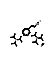 CC(C)P(C(C)C)C(C)C.CC(C)P(C(C)C)C(C)C.[C]=O.[Cl][Ru][CH]=Cc1ccccc1